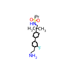 CC(C)S(=O)(=O)NCC(C)(C)c1ccc(-c2ccc(CCN)c(F)c2)cc1